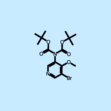 COc1c(Br)cncc1N(C(=O)OC(C)(C)C)C(=O)OC(C)(C)C